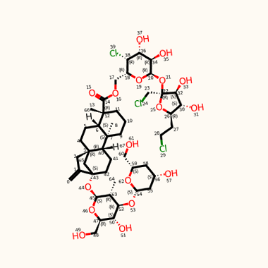 C=C1C[C@@]23CC[C@H]4[C@@](C)(CCC[C@@]4(C)C(=O)OC[C@H]4O[C@H](O[C@]5(CCl)O[C@H](CCCl)[C@@H](O)[C@@H]5O)[C@H](O)[C@@H](O)[C@H]4Cl)[C@@H]2CC[C@]1(O[C@@H]1O[C@H](CO)[C@@H](O)[C@H](O[C@H]2C[C@@H](O)C[C@@H](CO)O2)[C@H]1C)C3